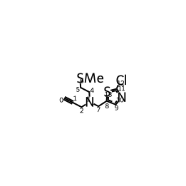 C#CCN(CCSC)Cc1cnc(Cl)s1